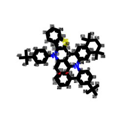 CC1C=C2C3=C(C1)N(c1ccc(C(C)(C)C)cc1-c1ccccc1)c1cc4c(cc1B3c1sc3ccccc3c1N2c1ccc(C(C)(C)C)cc1)C(C)(C)CCC4(C)C